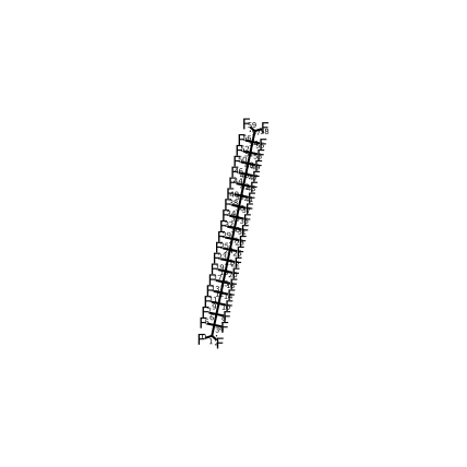 F[C](F)C(F)(F)C(F)(F)C(F)(F)C(F)(F)C(F)(F)C(F)(F)C(F)(F)C(F)(F)C(F)(F)C(F)(F)C(F)(F)C(F)(F)C(F)(F)C(F)(F)C(F)(F)C(F)(F)C(F)(F)C(F)(F)[C](F)F